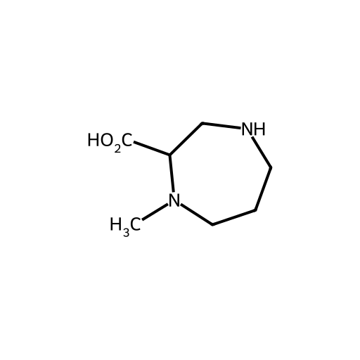 CN1CCCNCC1C(=O)O